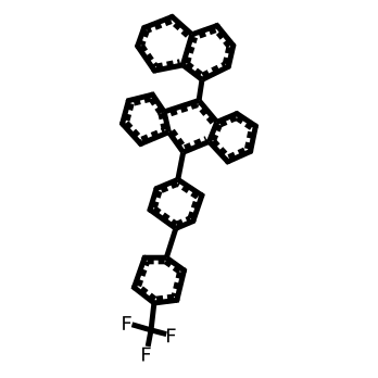 FC(F)(F)c1ccc(-c2ccc(-c3c4ccccc4c(-c4cccc5ccccc45)c4ccccc34)cc2)cc1